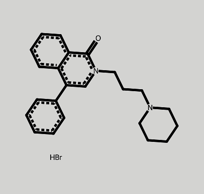 Br.O=c1c2ccccc2c(-c2ccccc2)cn1CCCN1CCCCC1